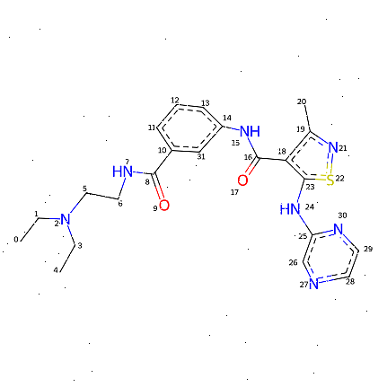 CCN(CC)CCNC(=O)c1cccc(NC(=O)c2c(C)nsc2Nc2cnccn2)c1